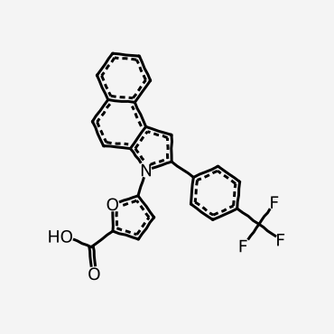 O=C(O)c1ccc(-n2c(-c3ccc(C(F)(F)F)cc3)cc3c4ccccc4ccc32)o1